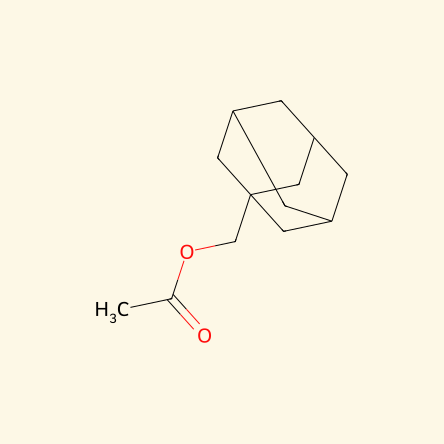 CC(=O)OCC12CC3CC(CC(C3)C1)C2